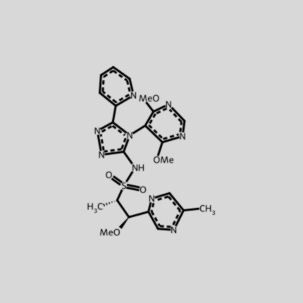 COc1ncnc(OC)c1-n1c(NS(=O)(=O)[C@@H](C)[C@H](OC)c2cnc(C)cn2)nnc1-c1ccccn1